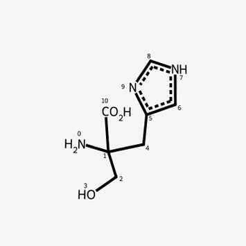 NC(CO)(Cc1c[nH]cn1)C(=O)O